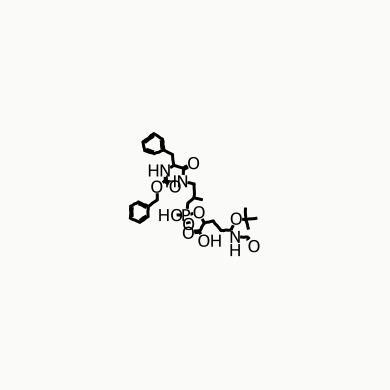 CC(CNC(=O)C(Cc1ccccc1)NC(=O)OCc1ccccc1)CP(=O)(O)OC(CCC(NC=O)OC(C)(C)C)C(=O)O